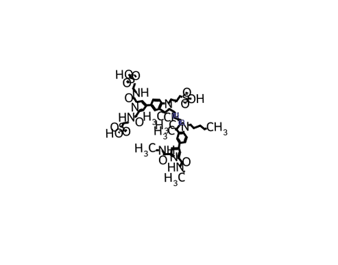 CCCCCN1/C(=C/C=C/C2=[N+](CCCS(=O)(=O)O)c3ccc(-c4cc(C(=O)NCCS(=O)(=O)O)nc(C(=O)NCCS(=O)(=O)O)c4)cc3C2(C)C)C(C)(C)c2cc(-c3cc(C(=O)NCC)nc(C(=O)NCC)c3)ccc21